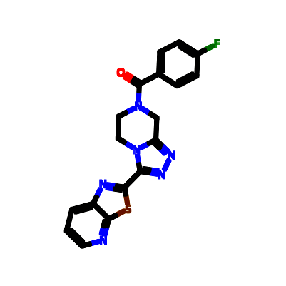 O=C(c1ccc(F)cc1)N1CCn2c(nnc2-c2nc3cccnc3s2)C1